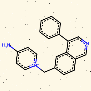 Nc1cc[n+](Cc2ccc3cncc(-c4ccccc4)c3c2)cc1